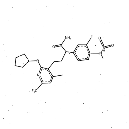 Cc1cc(C(F)(F)F)nc(OC2CCCC2)c1CCC(C(N)=O)c1ccc(N(C)[SH](=O)=O)c(F)c1